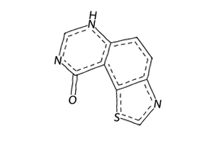 O=c1nc[nH]c2ccc3ncsc3c12